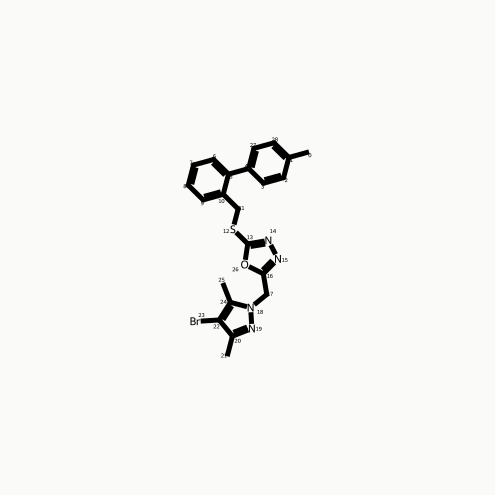 Cc1ccc(-c2ccccc2CSc2nnc(Cn3nc(C)c(Br)c3C)o2)cc1